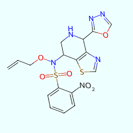 C=CCON(C1CNC(c2nnco2)c2ncsc21)S(=O)(=O)c1ccccc1[N+](=O)[O-]